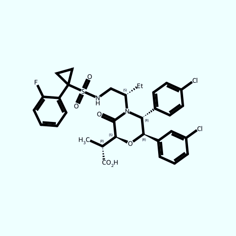 CC[C@@H](CNS(=O)(=O)C1(c2ccccc2F)CC1)N1C(=O)[C@H]([C@@H](C)C(=O)O)O[C@H](c2cccc(Cl)c2)[C@H]1c1ccc(Cl)cc1